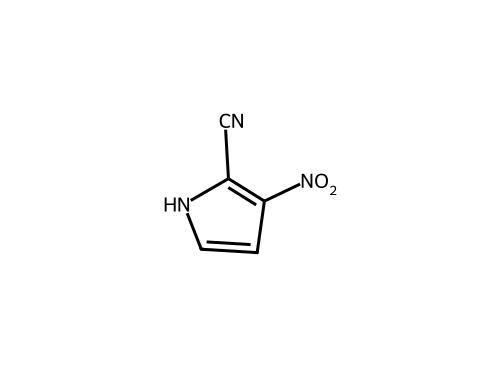 N#Cc1[nH]ccc1[N+](=O)[O-]